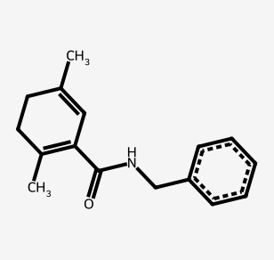 CC1=CC(C(=O)NCc2ccccc2)=C(C)CC1